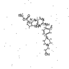 CC(C)(C)OC(=O)N1CCC(Nc2nc(Nc3ccc(N4CCN(CCO)CC4)cc3F)ncc2N)C1